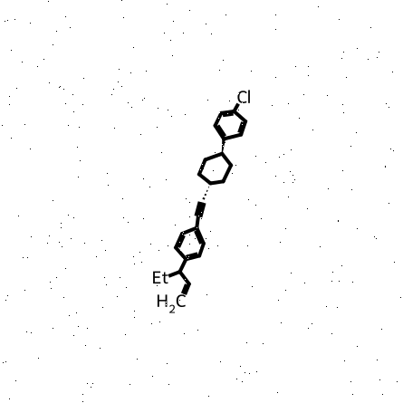 C=CC(CC)c1ccc(C#C[C@H]2CC[C@H](c3ccc(Cl)cc3)CC2)cc1